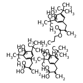 C=C(Cc1cc(C(C)(C)C)c(O)c(C(C)(C)C)c1)C(=O)O.C=C(Cc1cc(C(C)(C)C)c(O)c(C(C)(C)C)c1)C(=O)O.C=C(Cc1cc(C(C)(C)C)c(O)c(C(C)(C)C)c1)C(=O)OCCC